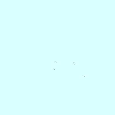 O=C(NC1CNC1)c1cccc(Cc2n[nH]c(=O)c3c2CCCC3)c1